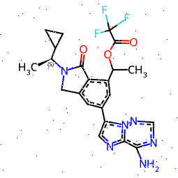 CC(OC(=O)C(F)(F)F)c1cc(-c2cnc3c(N)ncnn23)cc2c1C(=O)N([C@@H](C)C1CC1)C2